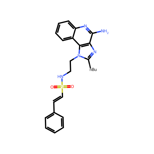 CCCCc1nc2c(N)nc3ccccc3c2n1CCNS(=O)(=O)/C=C/c1ccccc1